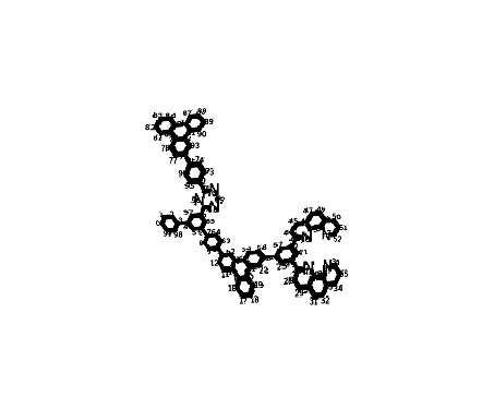 c1ccc(-c2cc(-c3ccc(-c4ccc5c6ccccc6c6cc(-c7cc(-c8ccc9ccc%10cccnc%10c9n8)cc(-c8ccc9ccc%10cccnc%10c9n8)c7)ccc6c5c4)cc3)cc(-c3ncnc(-c4ccc(-c5ccc6c7ccccc7c7ccccc7c6c5)cc4)n3)c2)cc1